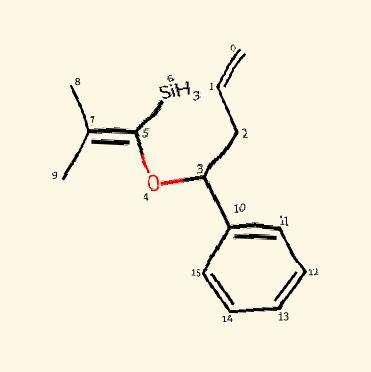 C=CCC(OC([SiH3])=C(C)C)c1ccccc1